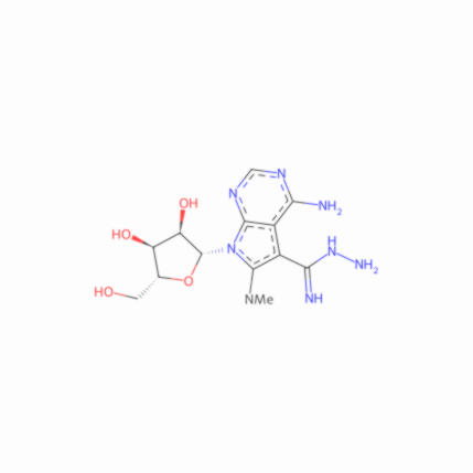 CNc1c(C(=N)NN)c2c(N)ncnc2n1[C@@H]1O[C@H](CO)[C@@H](O)[C@H]1O